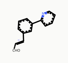 O=C/C=C/c1cccc(-c2ccccn2)c1